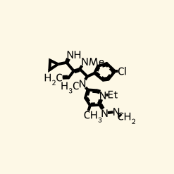 C=C/C(C(=N)C1CC1)=C(/NC)C(c1ccc(Cl)cc1)N(C)c1cc(C)/c(=N/N=C)n(CC)c1